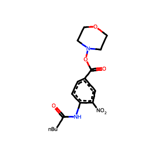 CCCCC(=O)Nc1ccc(C(=O)ON2CCOCC2)cc1[N+](=O)[O-]